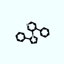 c1ccc(-c2ccncc2-n2cccc2-c2ccccc2)cc1